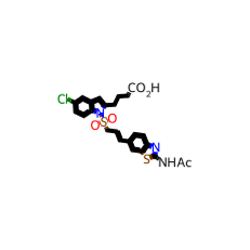 CC(=O)Nc1nc2ccc(C=CCS(=O)(=O)n3c(CCCC(=O)O)cc4cc(Cl)ccc43)cc2s1